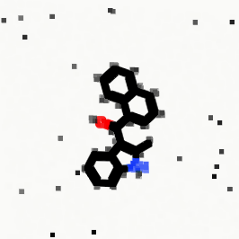 Cc1[nH]c2ccccc2c1C(=O)c1cccc2ccccc12